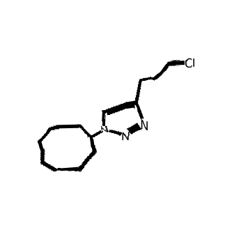 ClCCCc1cn([C]2CCCCCCC2)nn1